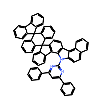 c1ccc(-c2cc(-c3ccccc3)nc(-n3c4ccc5ccccc5c4c4ccc5c(c43)-c3ccccc3C53c4ccccc4C4(c5ccccc5-c5ccccc54)c4ccccc43)n2)cc1